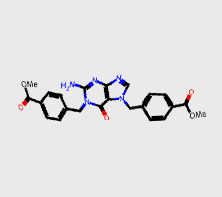 COC(=O)c1ccc(Cn2c(N)nc3ncn(Cc4ccc(C(=O)OC)cc4)c3c2=O)cc1